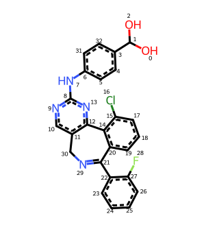 OC(O)c1ccc(Nc2ncc3c(n2)-c2c(Cl)cccc2C(c2ccccc2F)=NC3)cc1